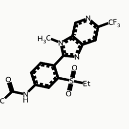 CCS(=O)(=O)c1cc(NC(=O)C(F)(F)F)ccc1-c1nc2cc(C(F)(F)F)ncc2n1C